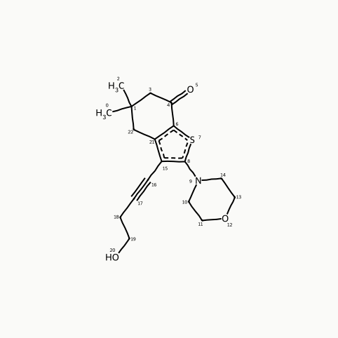 CC1(C)CC(=O)c2sc(N3CCOCC3)c(C#CCCO)c2C1